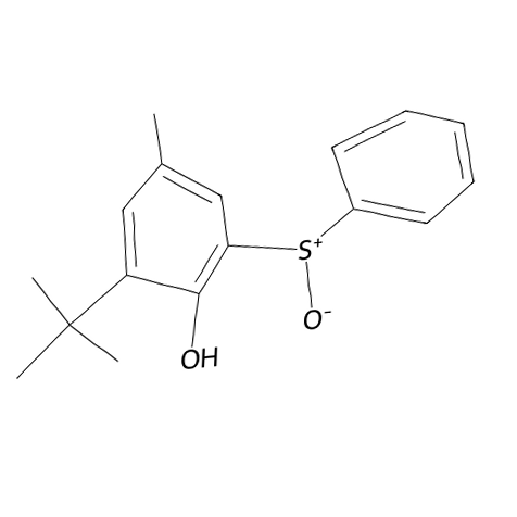 Cc1cc([S+]([O-])c2ccccc2)c(O)c(C(C)(C)C)c1